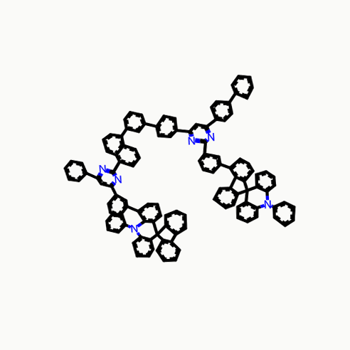 c1ccc(-c2ccc(-c3cc(-c4ccc(-c5cccc(-c6cccc7c(-c8nc(-c9ccccc9)cc(-c9cccc(-c%10cccc%11c%10N(c%10ccccc%10)c%10ccccc%10C%11%10c%11ccccc%11-c%11ccccc%11%10)c9)n8)cccc67)c5)cc4)nc(-c4cccc(-c5cccc6c5-c5ccccc5C65c6ccccc6N(c6ccccc6)c6ccccc65)c4)n3)cc2)cc1